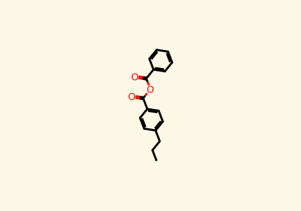 CCCc1ccc(C(=O)OC(=O)c2ccccc2)cc1